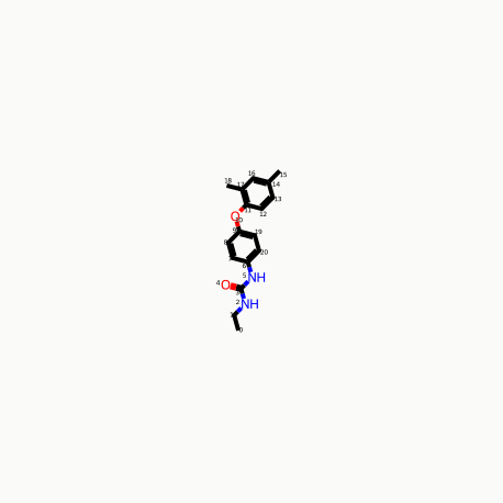 CCNC(=O)Nc1ccc(Oc2ccc(C)cc2C)cc1